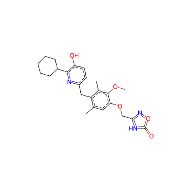 COc1c(OCc2noc(=O)[nH]2)cc(C)c(Cc2ccc(O)c(C3CCCCC3)n2)c1C